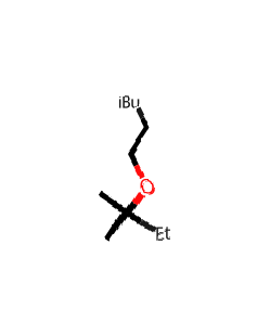 CCC(C)CCOC(C)(C)CC